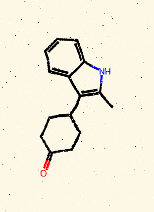 Cc1[nH]c2ccccc2c1C1CCC(=O)CC1